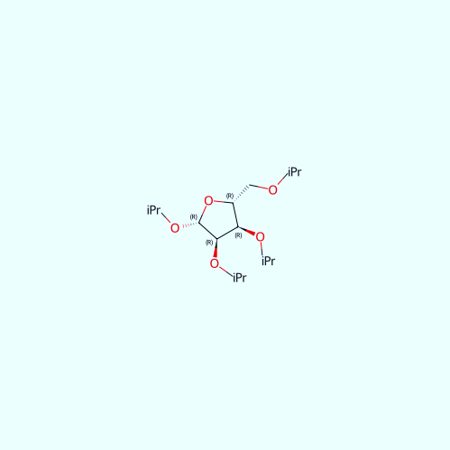 CC(C)OC[C@H]1O[C@@H](OC(C)C)[C@H](OC(C)C)[C@@H]1OC(C)C